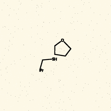 C1CCOC1.CC(C)CS